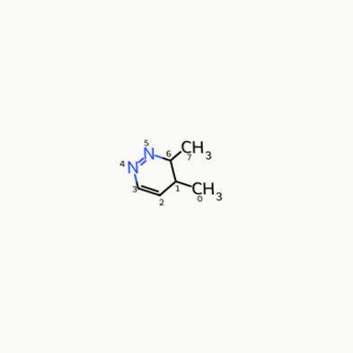 CC1C=CN=NC1C